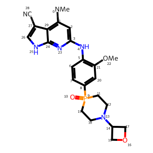 CNc1cc(Nc2ccc(P3(=O)CCN(C4COC4)CC3)cc2OC)nc2[nH]cc(C#N)c12